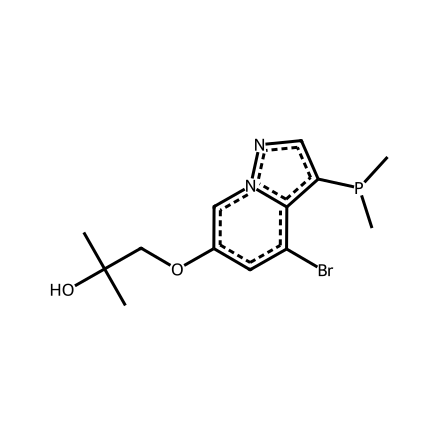 CP(C)c1cnn2cc(OCC(C)(C)O)cc(Br)c12